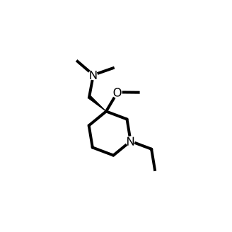 CCN1CCC[C@](CN(C)C)(OC)C1